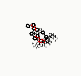 CC(C)(C)c1cc(-c2ccc3c(c2)B2c4cc(-c5cc(C(C)(C)C)cc(C(C)(C)C)c5)ccc4N(c4c(-c5cccc(Oc6ccccc6)c5)cccc4-c4cccc(Oc5ccccc5)c4)c4cc(-c5ccccc5)cc(c42)O3)cc(C(C)(C)C)c1